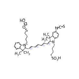 CC1(C)C(/C=C/C=C/C=C/C=C2/N(CCCCS(=O)(=O)O)c3ccc(N=C=S)cc3C2(C)C)=[N+](CCCCSOOO)c2ccccc21